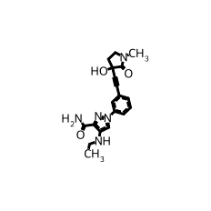 CCNc1cn(-c2cccc(C#CC3(O)CCN(C)C3=O)c2)nc1C(N)=O